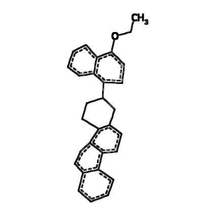 CCOc1ccc(C2CCc3c(ccc4c3ccc3ccccc34)C2)c2ccccc12